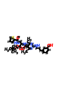 Cc1nc(NCCCc2cccc(O)c2)nc(C)c1C(=O)NC(CNC(=O)c1cccs1)C(=O)OCC(C)(C)C